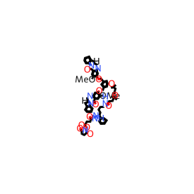 COc1cc2c(cc1OCc1cc(COc3cc4c(cc3OC)C(=O)N3c5ccccc5C[C@H]3C=N4)cc(OC(C)(C)CCOC(C)(C)CCC(=O)NCCCC/C(=N/NC(=O)CCC(=O)ON3C(=O)CCC3=O)c3ccccc3)c1)N=C[C@@H]1Cc3ccccc3N1C2=O